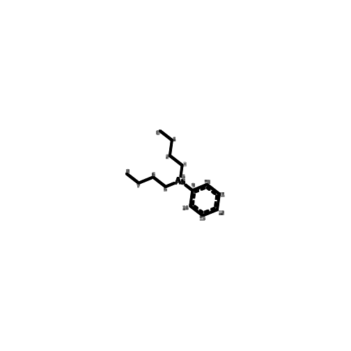 CCCC[As](CCCC)c1ccccc1